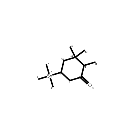 CC1C(=O)C[CH]([Sn]([CH3])([CH3])[CH3])CC1(C)C